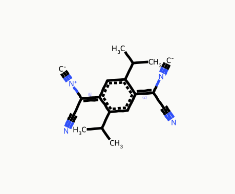 [C-]#[N+]/C(C#N)=c1/cc(C(C)C)/c(=C(\C#N)[N+]#[C-])cc1C(C)C